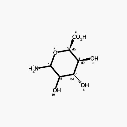 NC1O[C@@H](C(=O)O)[C@@H](O)[C@H](O)C1O